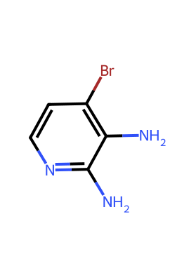 Nc1nccc(Br)c1N